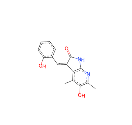 Cc1nc2c(c(C)c1O)C(=Cc1ccccc1O)C(=O)N2